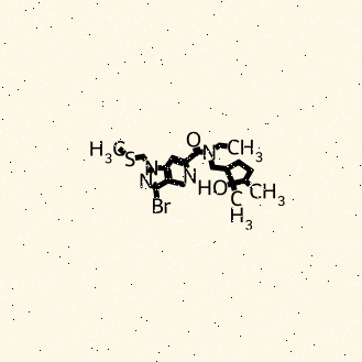 CCN(CC1CCC(C)C1(C)O)C(=O)c1cc2c(cn1)c(Br)nn2CSC